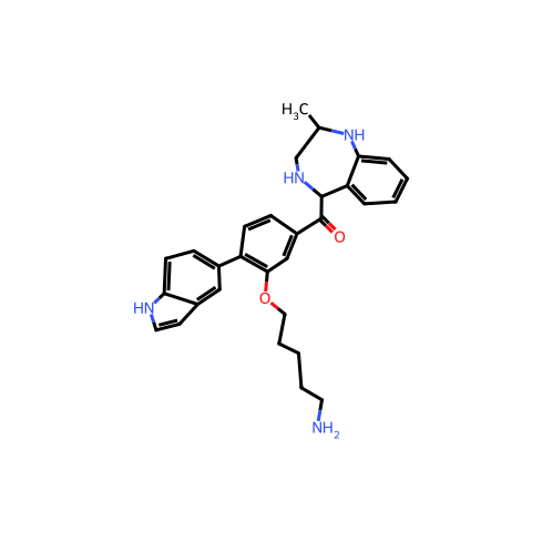 CC1CNC(C(=O)c2ccc(-c3ccc4[nH]ccc4c3)c(OCCCCCN)c2)c2ccccc2N1